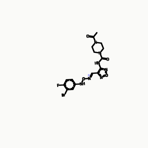 CC(=O)N1CCN(C(=O)Nc2nonc2/C=N/ONc2ccc(F)c(Br)c2)CC1